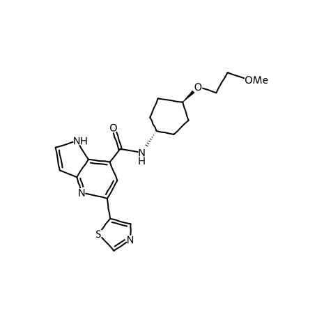 COCCO[C@H]1CC[C@H](NC(=O)c2cc(-c3cncs3)nc3cc[nH]c23)CC1